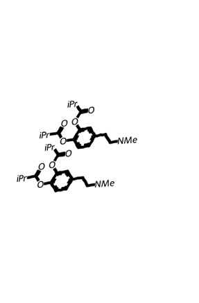 CNCCc1ccc(OC(=O)C(C)C)c(OC(=O)C(C)C)c1.CNCCc1ccc(OC(=O)C(C)C)c(OC(=O)C(C)C)c1